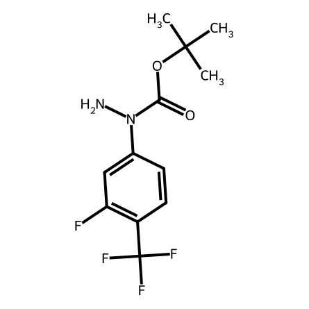 CC(C)(C)OC(=O)N(N)c1ccc(C(F)(F)F)c(F)c1